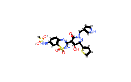 CS(=O)(=O)Nc1ccc2c(c1)S(=O)(=O)NC(c1c(O)c(-c3cccs3)nn(Cc3cc[nH]c3)c1=O)=N2